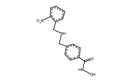 O=C(NO)c1ccc(CNCc2ccccc2[N+](=O)[O-])cc1